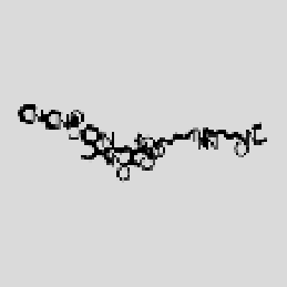 CCc1c2c(nc3ccc(OC(=O)N4CCC(N5CCCCC5)CC4)cc13)-c1cc3c(c(=O)n1C2)COC(=O)[C@@]3(CC)OC(=O)CCCCCn1cc(CCCC(=O)N(CC)CC)nn1